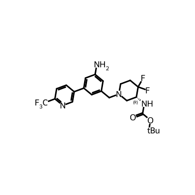 CC(C)(C)OC(=O)N[C@@H]1CN(Cc2cc(N)cc(-c3ccc(C(F)(F)F)nc3)c2)CCC1(F)F